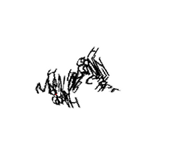 CNc1cc(CC2CCN(CCCOc3cc(Nc4nc(C)cc(NC5CCN(C(C)C)CC5)n4)cc4c3OCC4)C2)nc(Nc2cc3c(c(C4CCCNCC4)c2)OCC3)n1